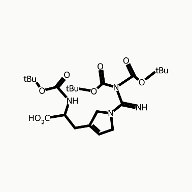 CC(C)(C)OC(=O)NC(CC1=CCN(C(=N)N(C(=O)OC(C)(C)C)C(=O)OC(C)(C)C)C1)C(=O)O